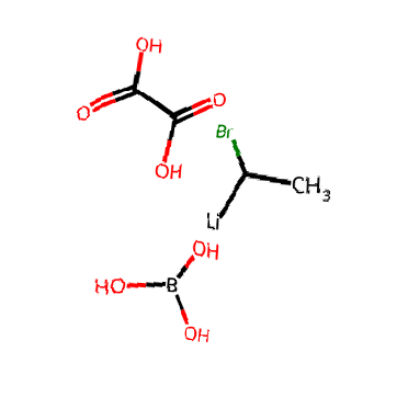 O=C(O)C(=O)O.OB(O)O.[Li][CH](C)Br